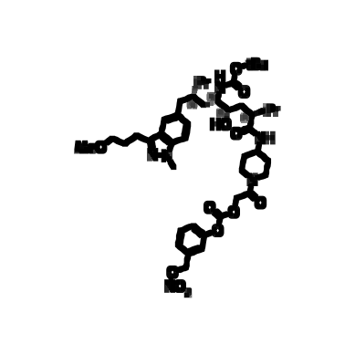 COCCCc1nn(C)c2ccc(C[C@@H](C[C@H](NC(=O)OC(C)(C)C)[C@@H](O)C[C@H](C(=O)NC3CCN(C(=O)COC(=O)Oc4cccc(CO[N+](=O)[O-])c4)CC3)C(C)C)C(C)C)cc12